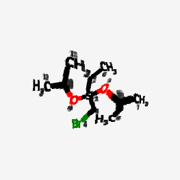 CC[Si](CBr)(OC(C)C)OC(C)C